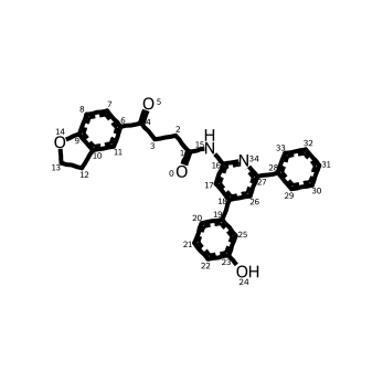 O=C(CCC(=O)c1ccc2c(c1)CCO2)Nc1cc(-c2cccc(O)c2)cc(-c2ccccc2)n1